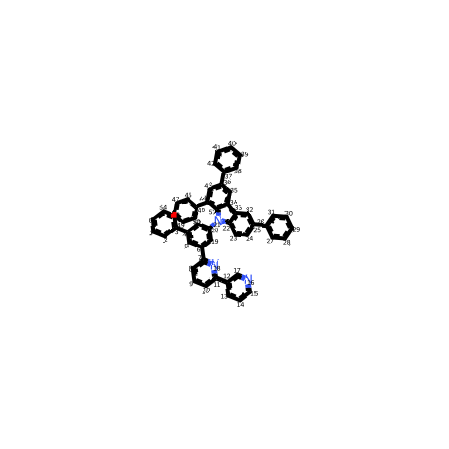 c1ccc(-c2cc(-c3cccc(-c4cccnc4)n3)cc(-n3c4ccc(-c5ccccc5)cc4c4cc(-c5ccccc5)cc(-c5ccccc5)c43)c2)cc1